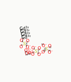 O=S(=O)([O-])[O-].O=S(=O)([O-])[O-].O=S(=O)([O-])[O-].[Gd+3].[Gd+3].[Gd+3].[Gd+3].[O-2].[O-2].[O-2]